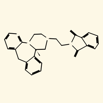 O=C1c2ccccc2C(=O)N1CCN1CCN2c3ncccc3Cc3ccccc3[C@H]2C1